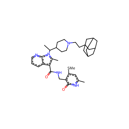 CSc1cc(C)[nH]c(=O)c1CNC(=O)c1c(C)n(C(C)C2CCN(CCC34CC5CC(CC(C5)C3)C4)CC2)c2ncccc12